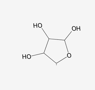 OC1[CH]OC(O)C1O